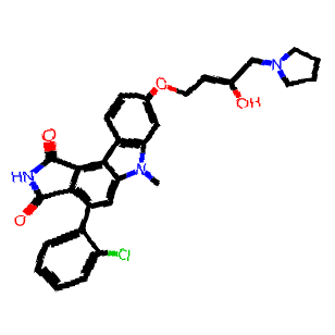 Cn1c2cc(OCCC(O)CN3CCCC3)ccc2c2c3c(c(-c4ccccc4Cl)cc21)C(=O)NC3=O